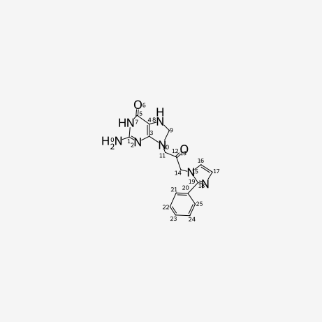 Nc1nc2c(c(=O)[nH]1)NCN2CC(=O)Cn1ccnc1-c1ccccc1